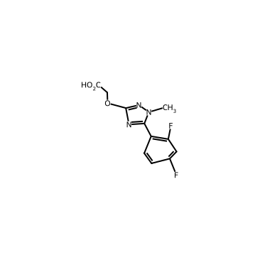 Cn1nc(OCC(=O)O)nc1-c1ccc(F)cc1F